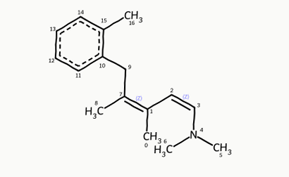 CC(/C=C\N(C)C)=C(\C)Cc1ccccc1C